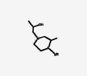 CCCN1CCN(CC(C)O)CC1C